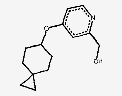 OCc1cc(OC2CCC3(CC2)CC3)ccn1